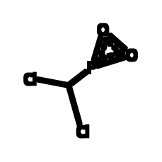 ClC(Cl)p1oo1